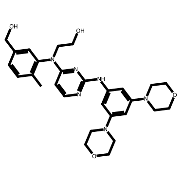 Cc1ccc(CO)cc1N(CCO)c1ccnc(Nc2cc(N3CCOCC3)cc(N3CCOCC3)c2)n1